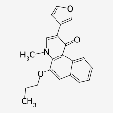 CCCOc1cc2ccccc2c2c(=O)c(-c3ccoc3)cn(C)c12